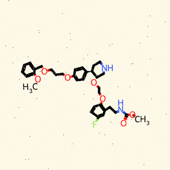 COC(=O)NCCc1cc(F)ccc1OCCO[C@H]1CNCC[C@@H]1c1ccc(OCCCOCc2ccccc2OC)cc1